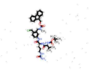 CC(C)[C@H](NC(=O)OC(C)(C)C)C(=O)N[C@@H](CCCNC(N)=O)C(=O)Nc1ccc(CCl)c(CN(C)C(=O)OCC2c3ccccc3-c3ccccc32)c1